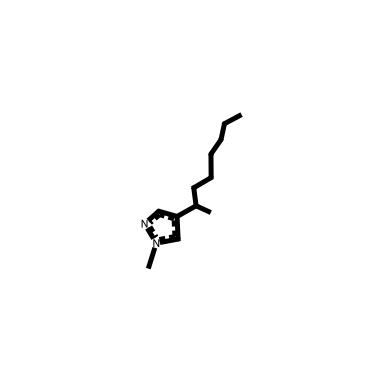 CCCCCCC(C)c1cnn(C)c1